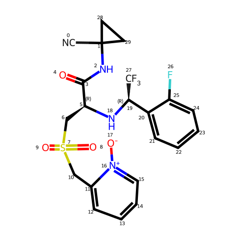 N#CC1(NC(=O)[C@H](CS(=O)(=O)Cc2cccc[n+]2[O-])N[C@H](c2ccccc2F)C(F)(F)F)CC1